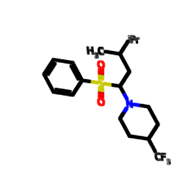 CC(C)C(C)CC(N1CCC(C(F)(F)F)CC1)S(=O)(=O)c1ccccc1